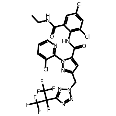 CCNC(=O)c1cc(Cl)cc(Cl)c1NC(=O)c1cc(Cn2nnc(C(F)(C(F)(F)F)C(F)(F)F)n2)nn1-c1ncccc1Cl